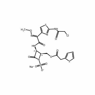 CON=C(C(=O)N[C@@H]1C(=O)N(S(=O)(=O)[O-])[C@@H]1COC(=O)Cc1cccs1)c1csc(NC(=O)CCl)n1.[Na+]